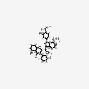 CC(C)Nc1ccc(-c2nn(C(C)c3oc4cccc(F)c4c(=O)c3-c3cccc(F)c3)c3ncnc([AsH2])c23)cc1F